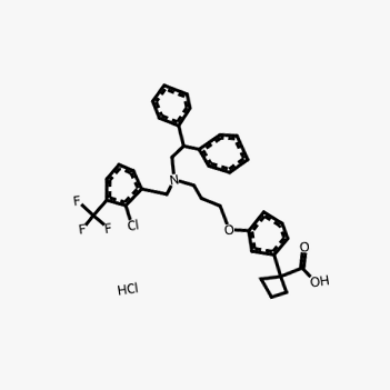 Cl.O=C(O)C1(c2cccc(OCCCN(Cc3cccc(C(F)(F)F)c3Cl)CC(c3ccccc3)c3ccccc3)c2)CCC1